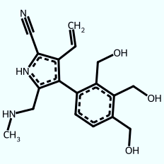 C=Cc1c(C#N)[nH]c(CNC)c1-c1ccc(CO)c(CO)c1CO